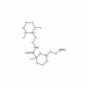 CC(=O)NCCN1CCCC(C)(C(=O)NCCN2C(C)CCCC2C)C1